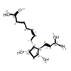 N[C@H](O)/C=C/[C@@H]1[C@@H](C/C=C\CCCC(=O)O)[C@@H](O)C[C@H]1O